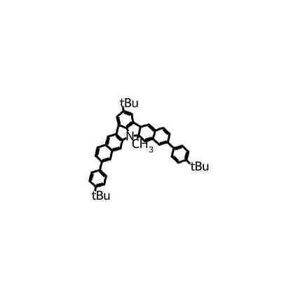 CC(C)(C)c1ccc(-c2ccc3c(c2)=CC2(C)C(C=3)c3cc(C(C)(C)C)cc4c5cc6ccc(-c7ccc(C(C)(C)C)cc7)cc6cc5n2c34)cc1